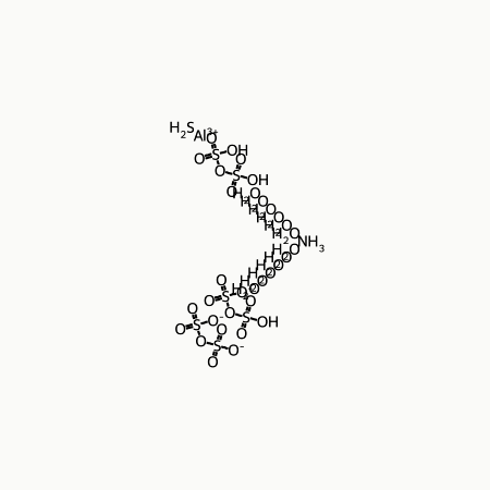 N.O.O.O.O.O.O.O.O.O.O.O.O.O=S(=O)(O)OS(=O)(=O)O.O=S(=O)([O-])OS(=O)(=O)O.O=S(=O)([O-])OS(=O)(=O)[O-].S.[Al+3]